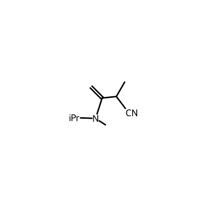 C=C(C(C)C#N)N(C)C(C)C